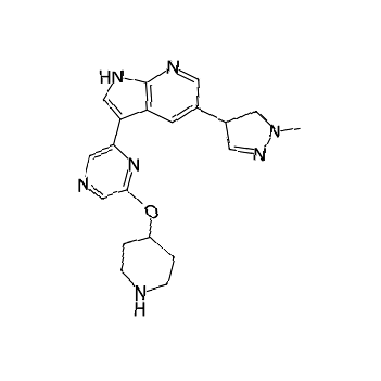 CN1CC(c2cnc3[nH]cc(-c4cncc(OC5CCNCC5)n4)c3c2)C=N1